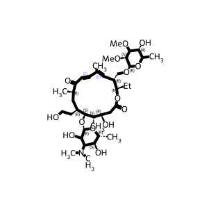 CC[C@H]1OC(=O)C[C@@H](O)[C@H](C)[C@@H](O[C@@H]2O[C@H](C)[C@@H](O)C(N(C)C)C2O)[C@@H](CCO)C[C@@H](C)C(=O)/C=C/C(C)=C/[C@@H]1CO[C@@H]1OC(C)[C@@H](O)C(OC)[C@@H]1OC